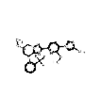 COc1nc(-c2nc3n(n2)C[C@@H](OC)C[C@@H]3c2ccccc2C(F)(F)F)ccc1-n1cnc(C)c1